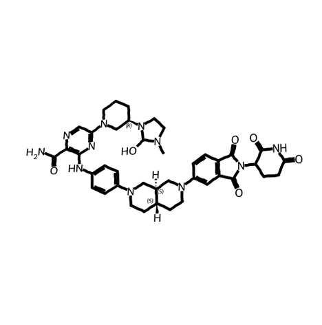 CN1CCN([C@@H]2CCCN(c3cnc(C(N)=O)c(Nc4ccc(N5CC[C@H]6CCN(c7ccc8c(c7)C(=O)N(C7CCC(=O)NC7=O)C8=O)C[C@@H]6C5)cc4)n3)C2)C1O